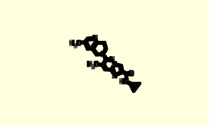 Cc1cnc2c(c1)CN(c1nn3cc(C(=O)NC4CC4)nc3cc1C)CC2